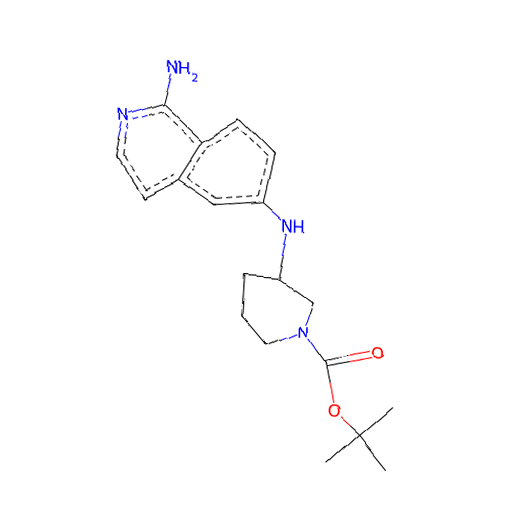 CC(C)(C)OC(=O)N1CCCC(Nc2ccc3c(N)nccc3c2)C1